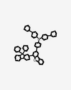 c1ccc(-c2ccc(N(c3ccc(-c4ccccc4)cc3)c3ccc(-c4cc(-c5ccc6c(c5)C(c5ccccc5)(c5ccccc5)c5ccccc5-6)c5oc6ccccc6c5c4)cc3)cc2)cc1